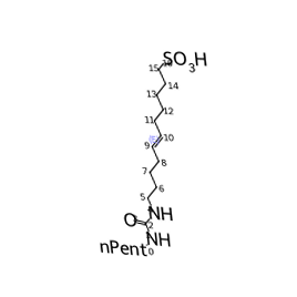 CCCCCNC(=O)NCCCC/C=C/CCCCCS(=O)(=O)O